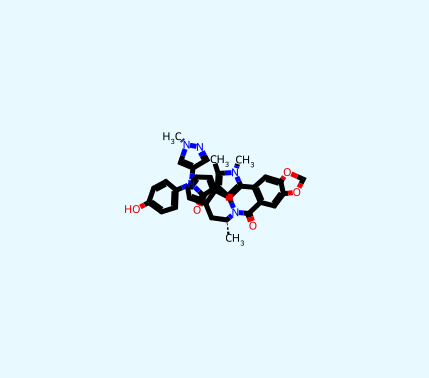 Cc1c(C(=O)N(c2ccc(O)cc2)c2cnn(C)c2)cc(-c2cc3c(cc2C(=O)N2Cc4ccccc4C[C@H]2C)OCO3)n1C